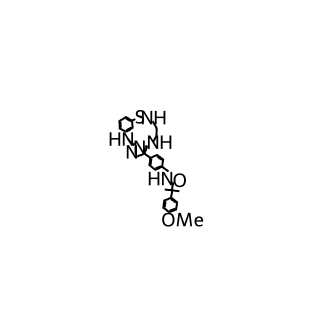 COc1ccc(C(C)(C)C(=O)NCc2ccc(-c3cnc4nc3NCCCNSc3cccc(c3)N4)cc2)cc1